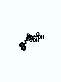 O=C(O)CCC(CP(=O)(O)CCCCc1cccc2ccccc12)C(=O)O